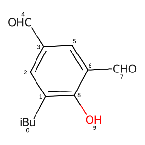 CCC(C)c1cc(C=O)cc(C=O)c1O